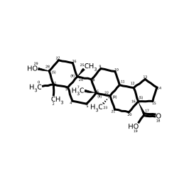 CC1(C)C2CC[C@]3(C)C(CCC4C5CCC[C@]5(C(=O)O)CC[C@]43C)[C@@]2(C)CC[C@@H]1O